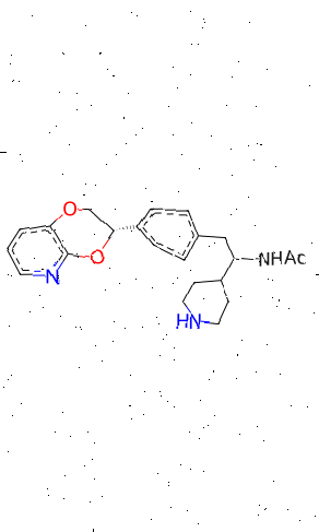 CC(=O)NC(Cc1ccc([C@H]2COc3cccnc3O2)cc1)C1CCNCC1